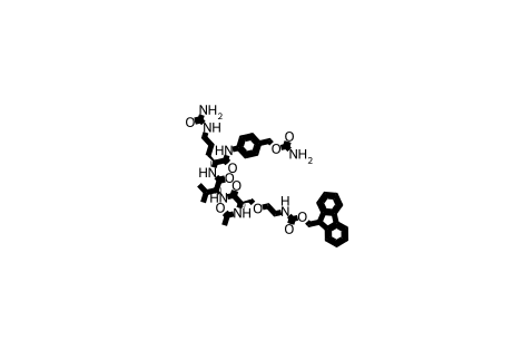 CC(=O)N[C@H](COCCNC(=O)OCC1c2ccccc2-c2ccccc21)C(=O)N[C@H](C(=O)N[C@@H](CCCNC(N)=O)C(=O)Nc1ccc(COC(N)=O)cc1)C(C)C